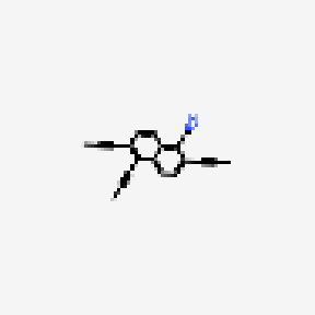 CC#Cc1ccc2c(C#CC)c(C#CC)ccc2c1C#N